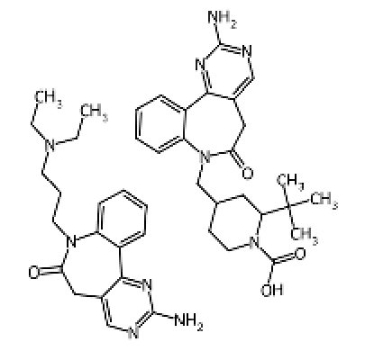 CC(C)(C)C1CC(CN2C(=O)Cc3cnc(N)nc3-c3ccccc32)CCN1C(=O)O.CCN(CC)CCCN1C(=O)Cc2cnc(N)nc2-c2ccccc21